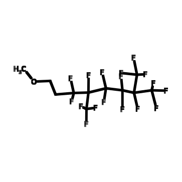 COCCC(F)(F)C(F)(C(F)(F)F)C(F)(F)C(F)(F)C(F)(C(F)(F)F)C(F)(F)F